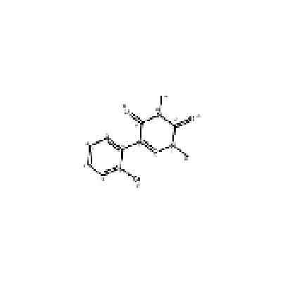 Cn1cc(-c2ccccc2Br)c(=O)n(C)c1=O